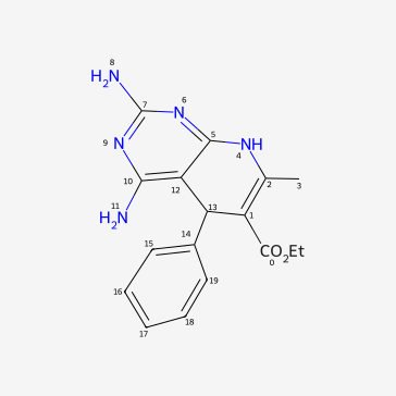 CCOC(=O)C1=C(C)Nc2nc(N)nc(N)c2C1c1ccccc1